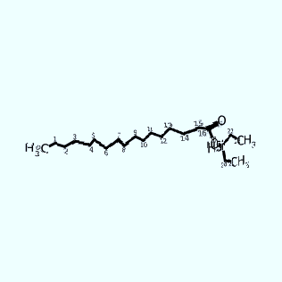 CCCCCCCCCCCCCCCCC(=O)O[SiH](CC)CC